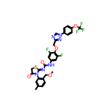 COCc1ccc(C)cc1N1C(=O)CSC1=NC(=O)Nc1cc(F)c(OCc2ncn(-c3ccc(OC(F)(F)F)cc3)n2)c(F)c1